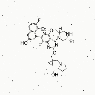 CCc1c(F)ccc2cc(O)cc(-c3nc4c5c(nc(OCC6(CN7CCC[C@@H]7CO)CC6)nc5c3F)N3C[C@@H](CC)NC[C@H]3CO4)c12